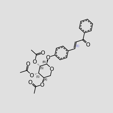 CC(=O)O[C@@H]1[C@@H](Oc2ccc(/C=C/C(=O)c3ccccc3)cc2)OC[C@@H](OC(C)=O)[C@@H]1OC(C)=O